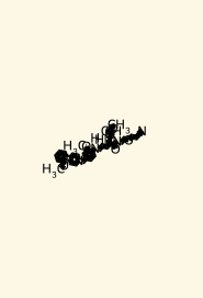 COC(=O)CNC(CCCNc1ccc(CN2CCN(c3ccccc3OC)CC2)cc1OC)C(=O)NCCOCCC#N